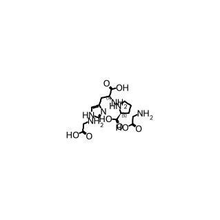 NCC(=O)O.NCC(=O)O.N[C@@H](Cc1c[nH]cn1)C(=O)O.O=C(O)[C@@H]1CCCN1